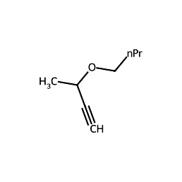 C#CC(C)OCCCC